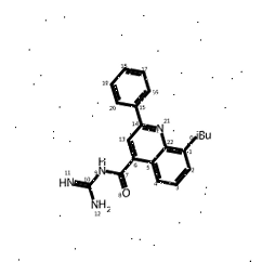 CCC(C)c1cccc2c(C(=O)NC(=N)N)cc(-c3ccccc3)nc12